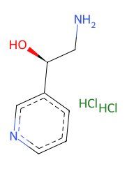 Cl.Cl.NC[C@H](O)c1cccnc1